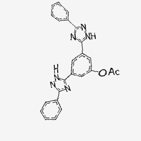 CC(=O)Oc1cc(-c2nc(-c3ccccc3)n[nH]2)cc(-c2nc(-c3ccccc3)n[nH]2)c1